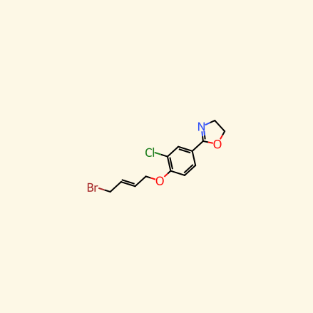 Clc1cc(C2=NCCO2)ccc1OCC=CCBr